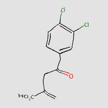 C=C(CC(=O)c1ccc(Cl)c(Cl)c1)C(=O)O